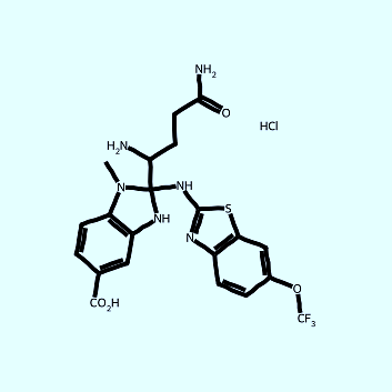 CN1c2ccc(C(=O)O)cc2NC1(Nc1nc2ccc(OC(F)(F)F)cc2s1)C(N)CCC(N)=O.Cl